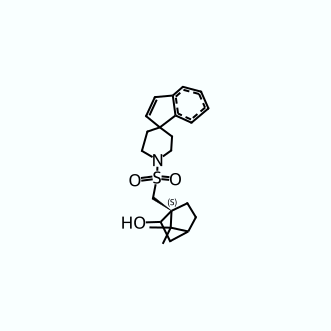 CC1(C)C2CC[C@@]1(CS(=O)(=O)N1CCC3(C=Cc4ccccc43)CC1)C(O)C2